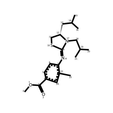 COC(=O)c1ccc(N=C2SC[C@H](CC(C)C)N2CC(C)C)c(C)c1